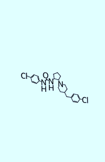 O=C(Nc1ccc(Cl)cc1)NC1CCCC1N1CCC(Cc2ccc(Cl)cc2)CC1